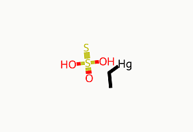 C[CH2][Hg].O=S(O)(O)=S